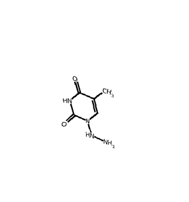 Cc1cn(NN)c(=O)[nH]c1=O